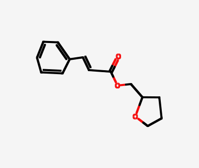 O=C(C=Cc1ccccc1)OCC1CCCO1